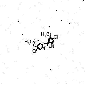 COc1cc2c(Nc3cc(OC(C)=O)c(Cl)cc3F)ncnc2cc1O